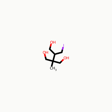 CC(CO)(CO)C(CO)CI